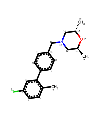 Cc1ccc(Cl)cc1-c1ccc(CN2C[C@H](C)O[C@@H](C)C2)cc1